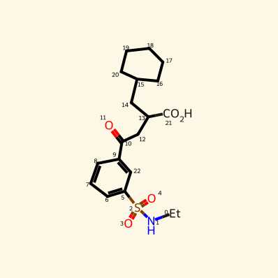 CCNS(=O)(=O)c1cccc(C(=O)CC(CC2CCCCC2)C(=O)O)c1